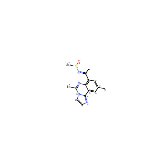 CCc1nc2c(C(C)=N[S@+]([O-])C(C)(C)C)cc(C)cc2c2nccn12